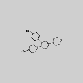 CCCCN1CCN(c2ccc(N3CCOCC3)cc2C2=CCC(C(C)(C)C)CC2)CC1